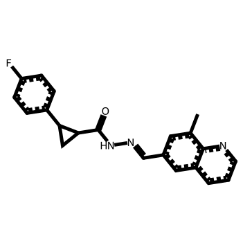 Cc1cc(/C=N/NC(=O)C2CC2c2ccc(F)cc2)cc2cccnc12